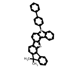 CC1(C)c2ccccc2-c2c1ccc1c2sc2c1ccc1c2c2ccccc2n1-c1ccc(-c2ccccc2)cc1